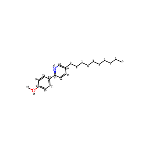 CCCCCCCCCCc1ccc(-c2ccc(OC)cc2)nc1